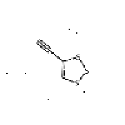 C#CC1=CSSS1